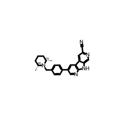 C[C@@H]1CCC[C@H](C)N1Cc1ccc(-c2cnc3[nH]c4cnc(C#N)cc4c3c2)cc1